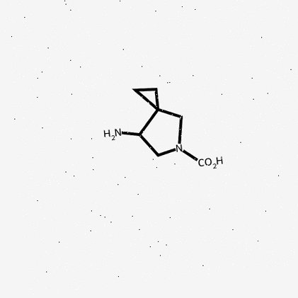 NC1CN(C(=O)O)CC12CC2